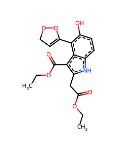 CCOC(=O)Cc1[nH]c2ccc(O)c(C3=CCOO3)c2c1C(=O)OCC